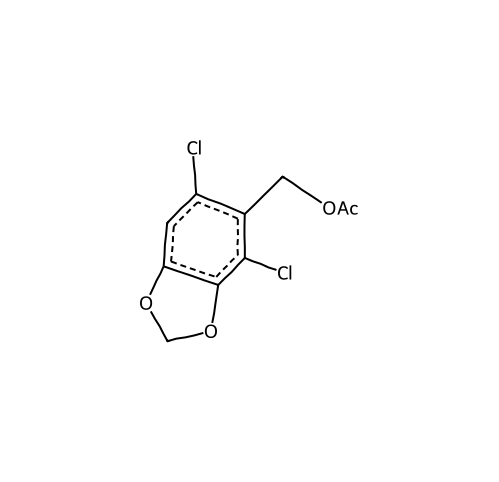 CC(=O)OCc1c(Cl)cc2c(c1Cl)OCO2